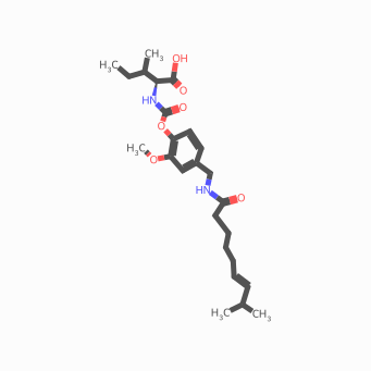 CCC(C)[C@H](NC(=O)Oc1ccc(CNC(=O)CCCC/C=C/C(C)C)cc1OC)C(=O)O